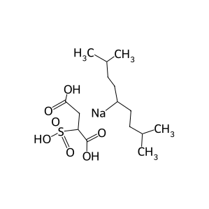 CC(C)CC[CH]([Na])CCC(C)C.O=C(O)CC(C(=O)O)S(=O)(=O)O